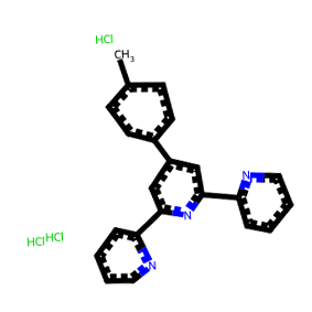 Cc1ccc(-c2cc(-c3ccccn3)nc(-c3ccccn3)c2)cc1.Cl.Cl.Cl